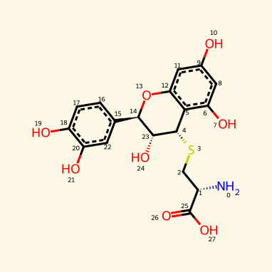 N[C@@H](CS[C@H]1c2c(O)cc(O)cc2O[C@H](c2ccc(O)c(O)c2)[C@H]1O)C(=O)O